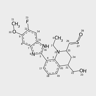 CCN1c2c(-c3nc4cc(OC)c(F)cc4[nH]3)cccc2C(CO)CC1C=S=O